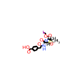 CC1(C)[C@H](C(=O)OCI)N2C(=O)[C@@H](NC(=O)Cc3ccc(C(=O)O)cc3)[C@H]2[S@@+]1[O-]